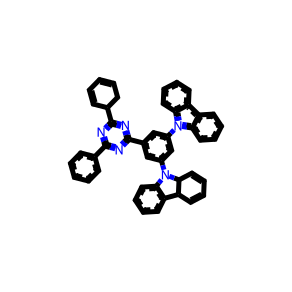 C1=CCC(c2nc(-c3ccccc3)nc(-c3cc(N4c5ccccc5C5C=CC=CC54)cc(-n4c5ccccc5c5ccccc54)c3)n2)C=C1